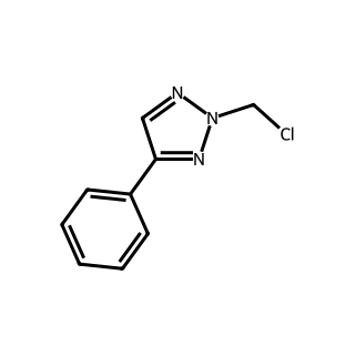 ClCn1ncc(-c2ccccc2)n1